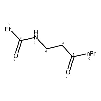 CCCC(=O)CCNC(=O)CC